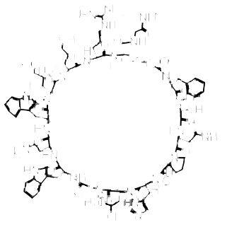 CCCC[C@H]1C(=O)N(C)[C@@H](CCCC)C(=O)N[C@@H](CCCNC(=N)N)C(=O)N[C@H](C(=O)NCC(N)=O)CSCC(=O)N[C@@H](Cc2ccccc2)C(=O)N(C)[C@@H](C)C(=O)N[C@@H](CC(N)=O)C(=O)N2CCC[C@H]2C(=O)N[C@@H](Cc2cnc[nH]2)C(=O)N[C@@H](CC(C)C)C(=O)N(C)CC(=O)N[C@@H](Cc2c[nH]c3ccccc23)C(=O)N[C@@H](CCN)C(=O)N[C@@H](Cc2c[nH]c3ccccc23)C(=O)N1C